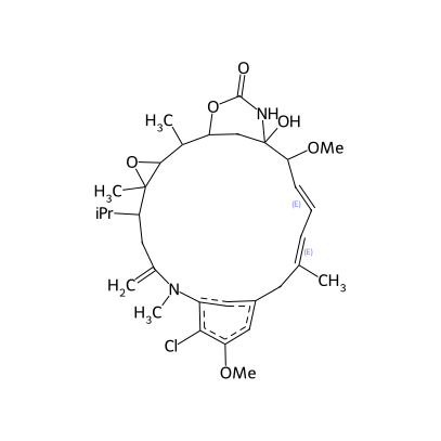 C=C1CC(C(C)C)C2(C)OC2C(C)C2CC(O)(NC(=O)O2)C(OC)/C=C/C=C(\C)Cc2cc(OC)c(Cl)c(c2)N1C